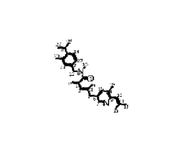 C=C(/C=C(\C)Cc1cnc(C=C(C)C)c(C)c1)C(=O)N(C)Cc1ccc(C(=C)C)c(C)c1